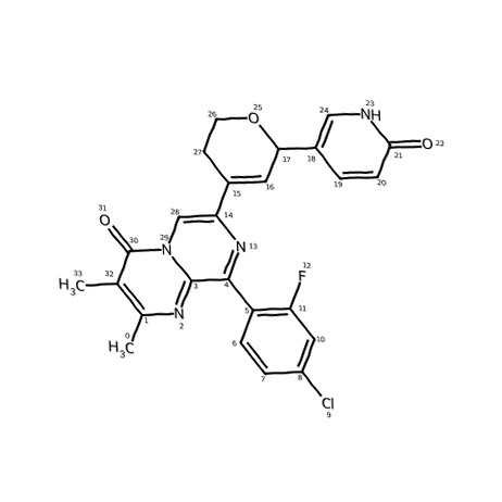 Cc1nc2c(-c3ccc(Cl)cc3F)nc(C3=CC(c4ccc(=O)[nH]c4)OCC3)cn2c(=O)c1C